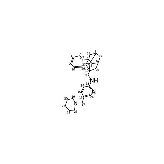 c1ccc(C23CC4CC(CC(CNc5ccc(CN6CCCCC6)cn5)(C4)C2)C3)cc1